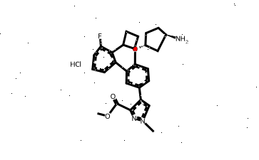 COC(=O)c1nn(C)cc1-c1ccc(O[C@@H]2CC[C@@H](N)C2)c(-c2cccc(F)c2C2CCC2)c1.Cl